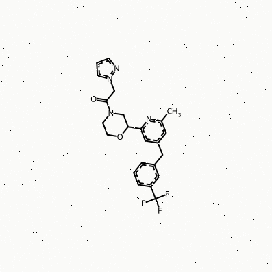 Cc1cc(Cc2cccc(C(F)(F)F)c2)cc(C2CN(C(=O)Cn3cccn3)CCO2)n1